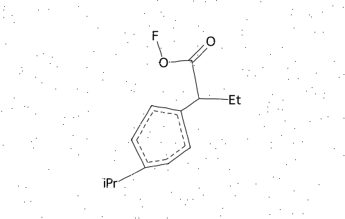 CCC(C(=O)OF)c1ccc(C(C)C)cc1